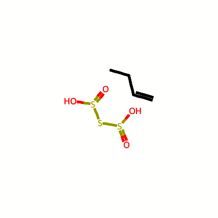 C=CCC.O=S(O)SS(=O)O